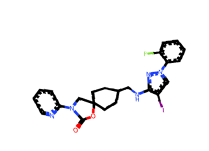 O=C1OC2(CCC(CNc3nn(-c4ccccc4F)cc3I)CC2)CN1c1ccccn1